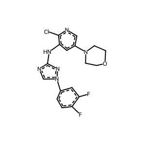 Fc1ccc(-n2cnc(Nc3cc(N4CCOCC4)cnc3Cl)n2)cc1F